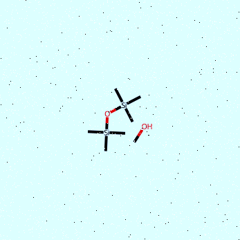 CO.C[Si](C)(C)O[Si](C)(C)C